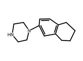 c1cc2c(cc1N1CCNCC1)CCCC2